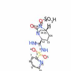 N=C(NS(=O)(=O)c1ccccn1)[C@@H]1CC[C@@H]2CN1C(=O)N2OS(=O)(=O)O